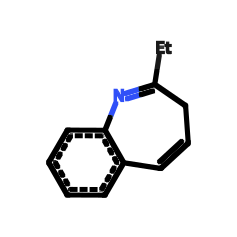 CCC1=Nc2ccccc2C=CC1